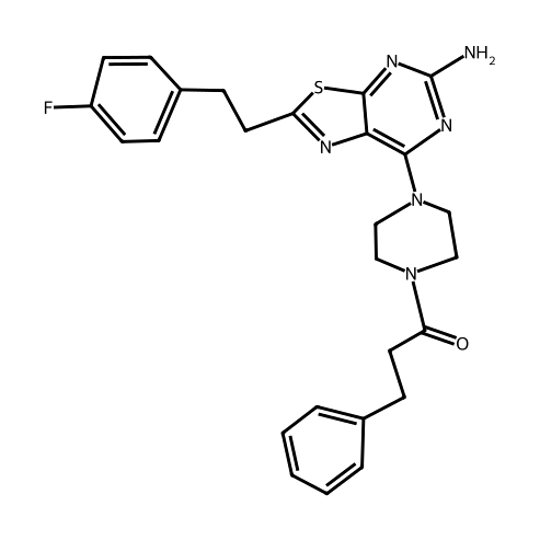 Nc1nc(N2CCN(C(=O)CCc3ccccc3)CC2)c2nc(CCc3ccc(F)cc3)sc2n1